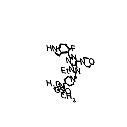 CCn1c(CN2CCC(N(C)S(C)(=O)=O)CC2)nc2c(N3CCOCC3)nc(-c3c(F)ccc4[nH]ccc34)nc21